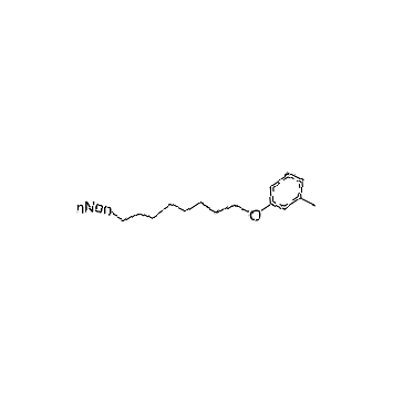 CCCCCCCCCCCCCCCCCOc1cccc(C)c1